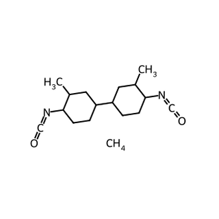 C.CC1CC(C2CCC(N=C=O)C(C)C2)CCC1N=C=O